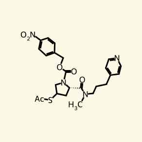 CC(=O)SC1C[C@@H](C(=O)N(C)CCCc2ccncc2)N(C(=O)OCc2ccc([N+](=O)[O-])cc2)C1